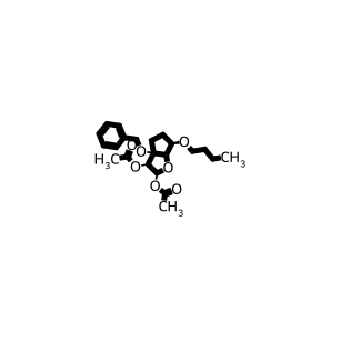 CCCCO[C@@H]1CC[C@@]2(OCc3ccccc3)C1O[C@H](OC(C)=O)[C@@H]2OC(C)=O